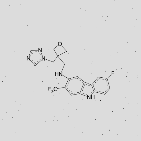 Fc1ccc2[nH]c3cc(C(F)(F)F)c(NCC4(Cn5cncn5)COC4)cc3c2c1